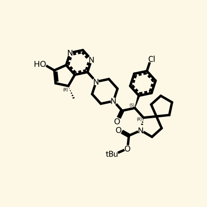 C[C@@H]1C=C(O)c2ncnc(N3CCN(C(=O)[C@@H](c4ccc(Cl)cc4)[C@H]4N(C(=O)OC(C)(C)C)CCC45CCCC5)CC3)c21